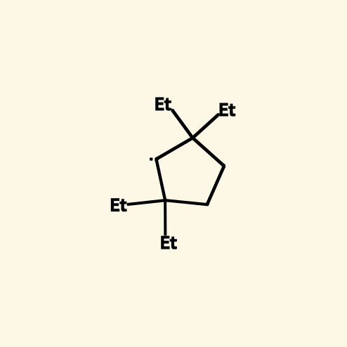 CCC1(CC)[CH]C(CC)(CC)CC1